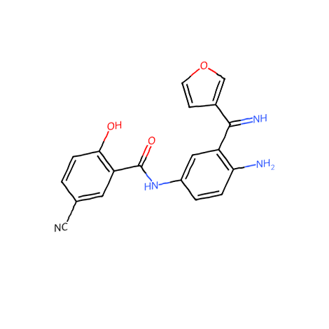 N#Cc1ccc(O)c(C(=O)Nc2ccc(N)c(C(=N)c3ccoc3)c2)c1